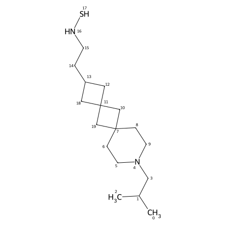 CC(C)CN1CCC2(CC1)CC1(CC(CCNS)C1)C2